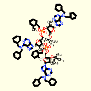 CO[C@@H]1[C@H](O[Si](C)(C)C(C)(C)C)[C@@H](COP(=O)(OCc2ccccc2C(F)(F)F)O[C@H]2[C@@H](OC)[C@H](n3cnc4c(N(Cc5ccccc5)Cc5ccccc5)ncnc43)O[C@@H]2COP(=O)(OCc2ccccc2C(F)(F)F)O[C@H]2[C@@H](OC)[C@H](n3cnc4c(N(Cc5ccccc5)Cc5ccccc5)ncnc43)O[C@@H]2CO[Si](C)(C)C(C)(C)C)O[C@H]1n1cnc2c(N(Cc3ccccc3)Cc3ccccc3)ncnc21